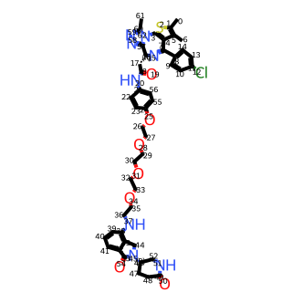 Cc1sc2c(c1C)C(c1ccc(Cl)cc1)=N[C@H](CC(=O)Nc1ccc(OCCOCCOCCOCCNc3cccc4c3CN([C@@H]3CCC(=O)NC3)C4=O)cc1)c1nnc(C)n1-2